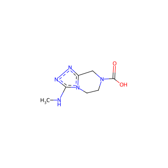 CNc1nnc2n1CCN(C(=O)O)C2